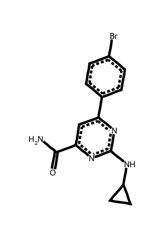 NC(=O)c1cc(-c2ccc(Br)cc2)nc(NC2CC2)n1